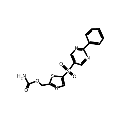 NC(=O)OCc1ncc(S(=O)(=O)c2cnc(-c3ccccc3)nc2)s1